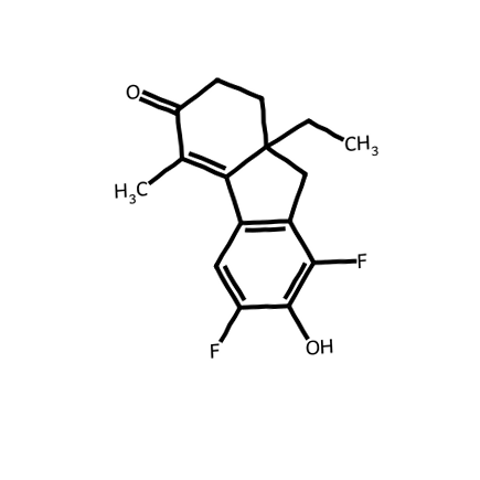 CCC12CCC(=O)C(C)=C1c1cc(F)c(O)c(F)c1C2